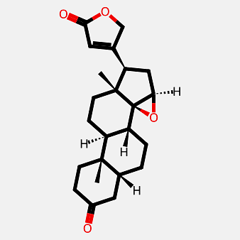 C[C@]12CCC(=O)C[C@H]1CC[C@@H]1[C@@H]2CC[C@]2(C)[C@@H](C3=CC(=O)OC3)C[C@H]3O[C@]132